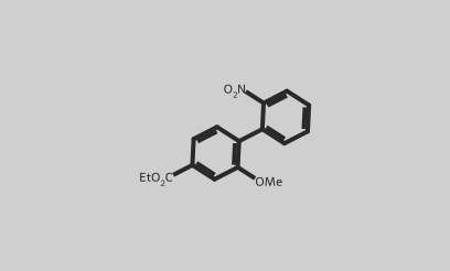 CCOC(=O)c1ccc(-c2ccccc2[N+](=O)[O-])c(OC)c1